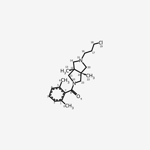 Cc1cccc(C)c1C(=O)N1C[C@]2(C)CN(CCCCl)C[C@]2(C)C1